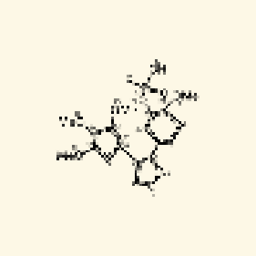 COc1ccc(-c2nocc2-c2cc(OC)c(OC)c(OC)c2)cc1OP(C)(=O)O